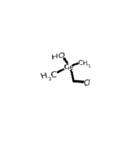 [CH3][Ge]([CH3])([OH])[CH2]Cl